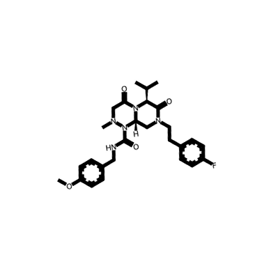 COc1ccc(CNC(=O)N2[C@H]3CN(CCc4ccc(F)cc4)C(=O)[C@H](C(C)C)N3C(=O)CN2C)cc1